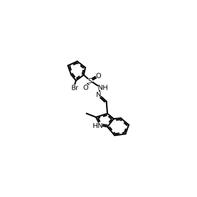 Cc1[nH]c2ccccc2c1C=NNS(=O)(=O)c1ccccc1Br